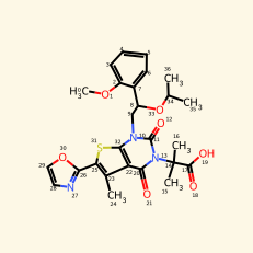 COc1ccccc1C(Cn1c(=O)n(C(C)(C)C(=O)O)c(=O)c2c(C)c(-c3ncco3)sc21)OC(C)C